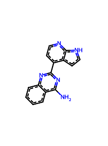 Nc1nc(-c2ccnc3[nH]ccc23)nc2ccccc12